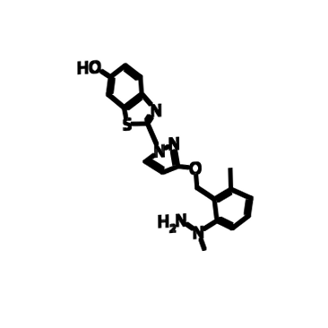 Cc1cccc(N(C)N)c1COc1ccn(-c2nc3ccc(O)cc3s2)n1